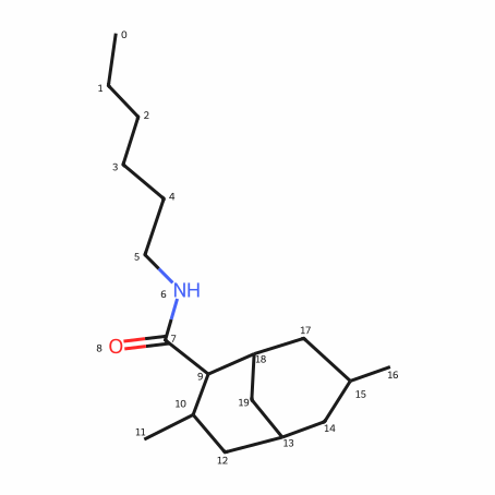 CCCCCCNC(=O)C1C(C)CC2CC(C)CC1C2